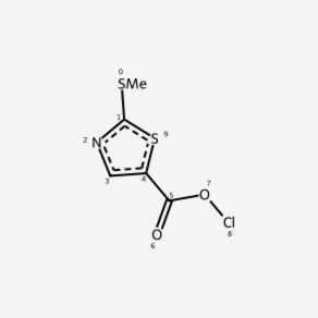 CSc1ncc(C(=O)OCl)s1